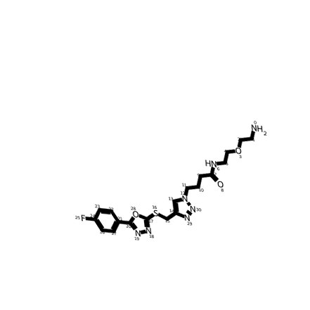 NCCOCCNC(=O)CCCn1cc(CSc2nnc(-c3ccc(F)cc3)o2)nn1